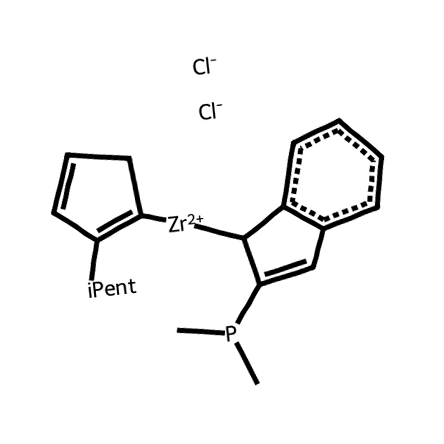 CCCC(C)C1=[C]([Zr+2][CH]2C(P(C)C)=Cc3ccccc32)CC=C1.[Cl-].[Cl-]